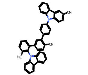 N#Cc1ccc2c(c1)c1ccccc1n2-c1ccc(-c2cc(-c3cccc(C#N)c3-n3c4ccccc4c4ccccc43)ccc2C#N)cc1